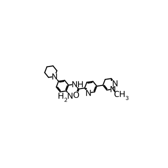 CN1C=C(c2ccc(C(=O)Nc3cc(N4CCCCC4)ccc3N)nc2)CC=N1